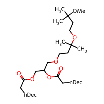 CCCCCCCCCCCC(=O)OCC(COCCC(C)(C)OCCC(C)(C)OC)OC(=O)CCCCCCCCCCC